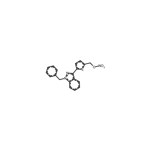 O=[N+]([O-])OCc1ccc(-c2nn(Cc3ccccc3)c3ccccc23)s1